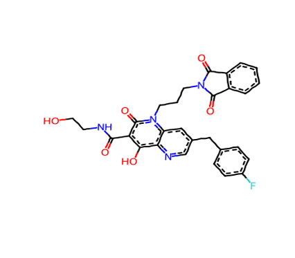 O=C(NCCO)c1c(O)c2ncc(Cc3ccc(F)cc3)cc2n(CCCN2C(=O)c3ccccc3C2=O)c1=O